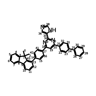 CC1(C)c2ccccc2-c2cccc(-c3ccc(-c4cc(-c5ccc(-c6ccccc6)cc5)nc(-c5cnc[nH]5)n4)cc3)c21